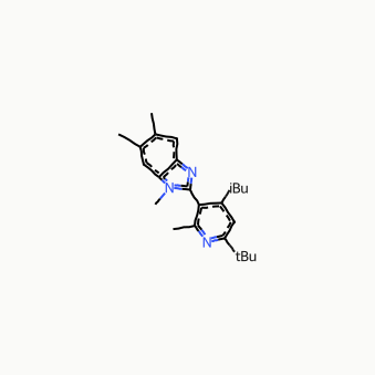 CCC(C)c1cc(C(C)(C)C)nc(C)c1-c1nc2cc(C)c(C)cc2n1C